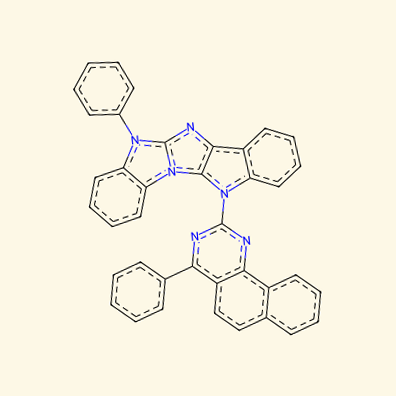 c1ccc(-c2nc(-n3c4ccccc4c4nc5n(-c6ccccc6)c6ccccc6n5c43)nc3c2ccc2ccccc23)cc1